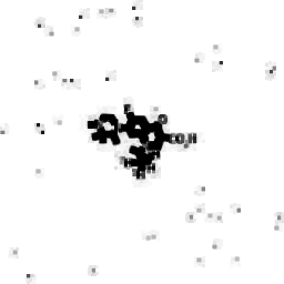 [2H]C1([2H])C([2H])([2H])C1(C)n1cc(C(=O)O)c(=O)c2cc(F)c(N3CCN(C)C(C)(C)C3C)cc21